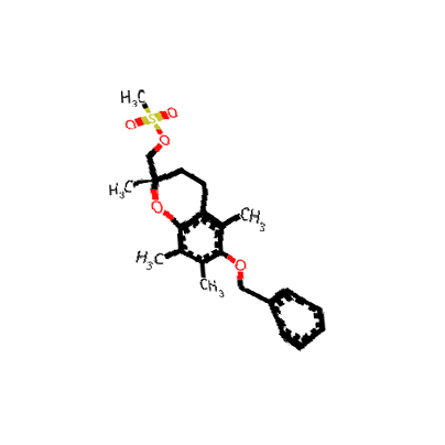 Cc1c(C)c2c(c(C)c1OCc1ccccc1)CC[C@@](C)(COS(C)(=O)=O)O2